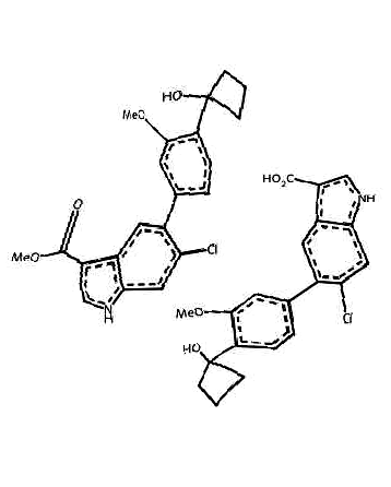 COC(=O)c1c[nH]c2cc(Cl)c(-c3ccc(C4(O)CCC4)c(OC)c3)cc12.COc1cc(-c2cc3c(C(=O)O)c[nH]c3cc2Cl)ccc1C1(O)CCC1